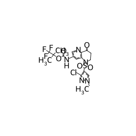 CCn1cc(S(=O)(=O)N2CCC(=O)c3ncc(NC(=O)OC(C)(C)C(F)(F)F)cc32)c(Cl)n1